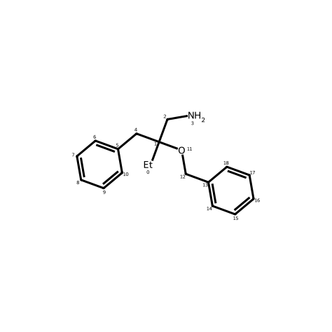 CCC(CN)(Cc1ccccc1)OCc1ccccc1